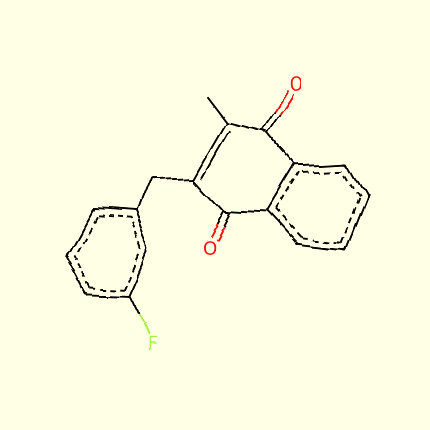 CC1=C(Cc2cccc(F)c2)C(=O)c2ccccc2C1=O